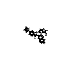 O=C(NC(Cc1ccc(F)cc1)C(=O)N1CCC2OCC(=O)C21)c1ccc(-n2cccn2)cc1